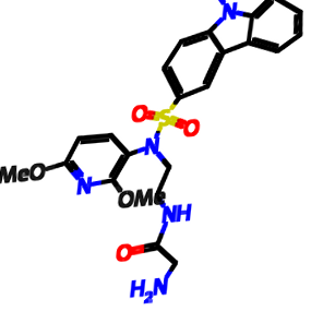 COc1ccc(N(CCNC(=O)CN)S(=O)(=O)c2ccc3c(c2)c2ccccc2n3C)c(OC)n1